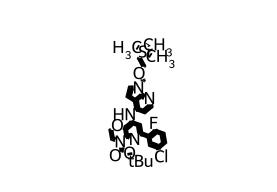 CC(C)(C)OC(=O)N1CCOc2c(Nc3ccnc4c3ccn4COCC[Si](C)(C)C)cc(-c3cc(Cl)ccc3F)nc21